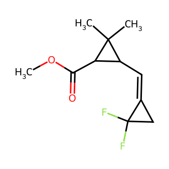 COC(=O)C1C(C=C2CC2(F)F)C1(C)C